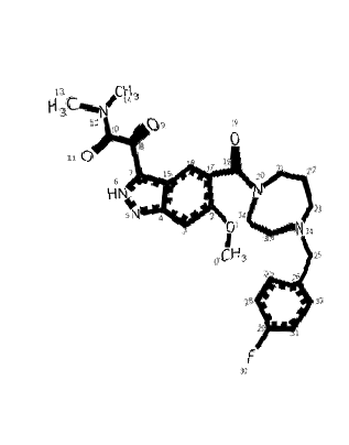 COc1cc2n[nH]c(C(=O)C(=O)N(C)C)c2cc1C(=O)N1CCCN(Cc2ccc(F)cc2)CC1